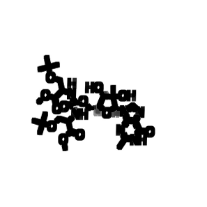 COC(=O)C(COC(C)(C)C)NP(=O)(NC(COC(C)(C)C)C(=O)OC)OC[C@H]1O[C@@H](n2cnc3c(=O)[nH]c(C)nc32)C(C)(O)[C@H]1O